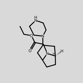 CCOC(=O)CN1C2CC[C@@H]1CC(N1CCNCC1)C2